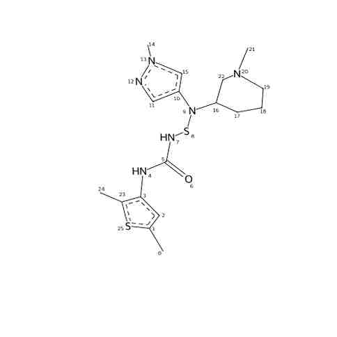 Cc1cc(NC(=O)NSN(c2cnn(C)c2)C2CCCN(C)C2)c(C)s1